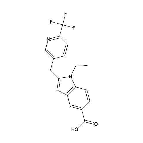 CCn1c(Cc2ccc(C(F)(F)F)nc2)cc2cc(C(=O)O)ccc21